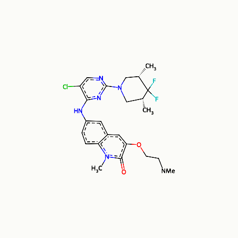 CNCCOc1cc2cc(Nc3nc(N4C[C@@H](C)C(F)(F)[C@@H](C)C4)ncc3Cl)ccc2n(C)c1=O